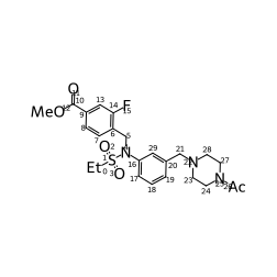 CCS(=O)(=O)N(Cc1ccc(C(=O)OC)cc1F)c1cccc(CN2CCN(C(C)=O)CC2)c1